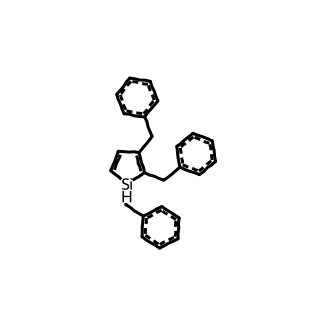 C1=C[SiH](Cc2ccccc2)C(Cc2ccccc2)=C1Cc1ccccc1